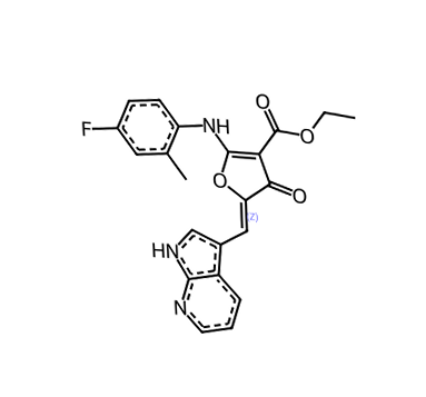 CCOC(=O)C1=C(Nc2ccc(F)cc2C)O/C(=C\c2c[nH]c3ncccc23)C1=O